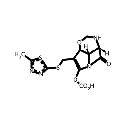 Cc1nnc(SCC2=C(OC(=O)O)N3C(=O)[C@H]4NCOC2[C@H]43)s1